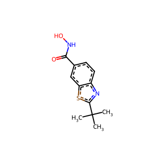 CC(C)(C)c1nc2ccc(C(=O)NO)cc2s1